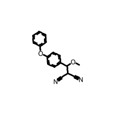 COC(c1ccc(Oc2ccccc2)cc1)C(C#N)C#N